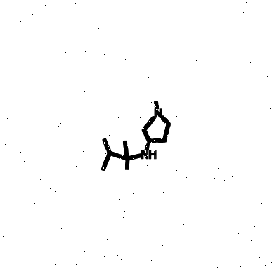 CC(C)C(C)(C)N[C@@H]1CCN(C)C1